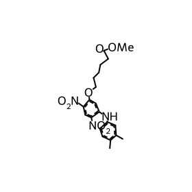 COC(=O)CCCCCOc1cc(Nc2ccc(C)c(C)c2)c([N+](=O)[O-])cc1[N+](=O)[O-]